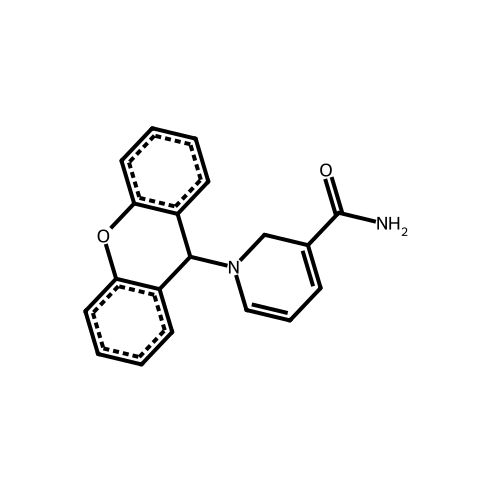 NC(=O)C1=CC=CN(C2c3ccccc3Oc3ccccc32)C1